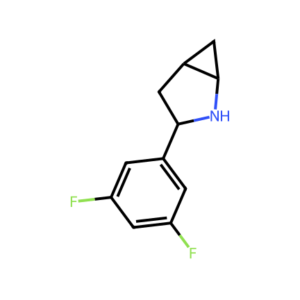 Fc1cc(F)cc(C2CC3CC3N2)c1